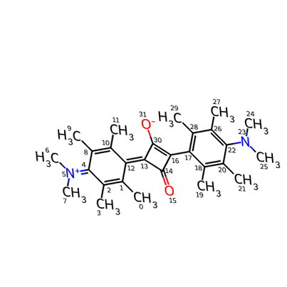 CC1=C(C)C(=[N+](C)C)C(C)=C(C)C1=C1C(=O)C(c2c(C)c(C)c(N(C)C)c(C)c2C)=C1[O-]